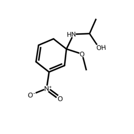 COC1(NC(C)O)C=C([N+](=O)[O-])C=CC1